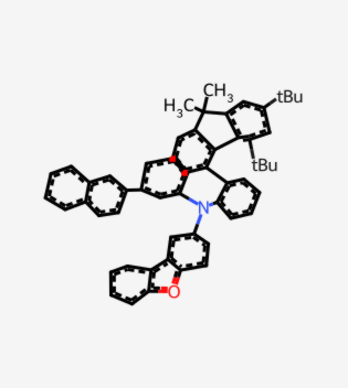 CC(C)(C)c1cc(C(C)(C)C)c2c(c1)C(C)(C)c1cccc(-c3ccccc3N(c3cccc(-c4ccc5ccccc5c4)c3)c3ccc4oc5ccccc5c4c3)c1-2